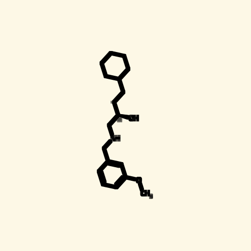 COc1cccc(CNC[C@H](O)[CH]CC2CCCCC2)c1